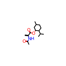 C=C(NC(C)=O)C(=O)OC1CC(C)CCC1C(C)C